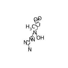 Cc1c(CCN(CCO)Cc2cnn(-c3cncc(C#N)c3)c2)ccc2c1COC2=O